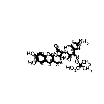 CC(C)(O/N=C(\C(=O)NC1C(=O)N2C(C(=O)O)=C(Cc3ccc(O)c(O)c3)CS[C@@H]12)c1csc(N)n1)C(=O)O